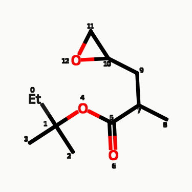 CCC(C)(C)OC(=O)C(C)CC1CO1